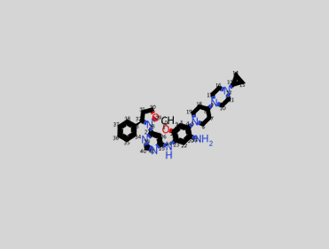 COc1cc(N2CCC(N3CCN(C4CC4)CC3)CC2)c(N)cc1Nc1cc(N2OCC[C@@H]2c2ccccc2)ncn1